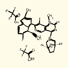 C#Cc1c(F)ccc2cc(O)cc(-c3ncc4c(N5C[C@H]6CC[C@@H](C5)N6)nc(=O)n(C)c4c3F)c12.O=C(O)C(F)(F)F.O=C(O)C(F)(F)F